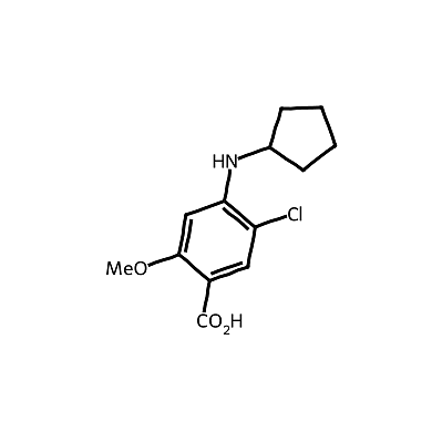 COc1cc(NC2CCCC2)c(Cl)cc1C(=O)O